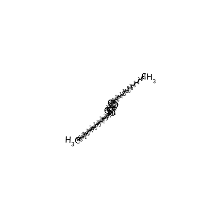 CCCCCCCCCCCCCCCCCCP1OCC2(CO1)COP(CCCCCCCCCCCCCCCCCC)OC2